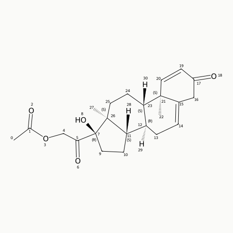 CC(=O)OCC(=O)[C@@]1(O)CC[C@H]2[C@@H]3CC=C4CC(=O)C=C[C@]4(C)[C@H]3CC[C@@]21C